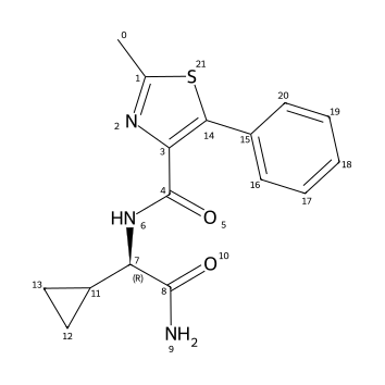 Cc1nc(C(=O)N[C@@H](C(N)=O)C2CC2)c(-c2ccccc2)s1